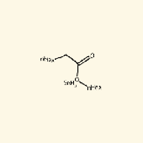 CCCCCCCC(=O)OCCCCCC.[SnH2]